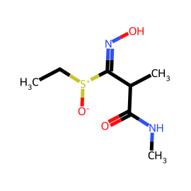 CC[S+]([O-])C(=NO)C(C)C(=O)NC